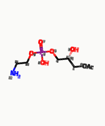 CC(=O)OC[C@@H](O)COP(=O)(O)OCCN